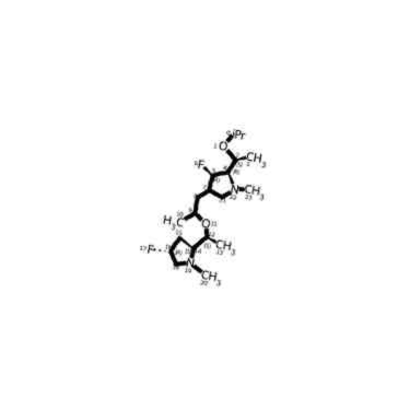 CC(C)O[C@@H](C)[C@@H]1[C@H](F)C(CC(C)O[C@@H](C)[C@@H]2C[C@@H](F)CN2C)CN1C